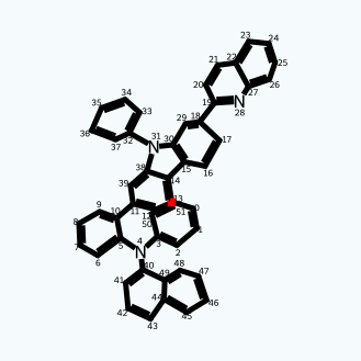 c1ccc(N(c2ccccc2-c2ccc3c4ccc(-c5ccc6ccccc6n5)cc4n(-c4ccccc4)c3c2)c2cccc3ccccc23)cc1